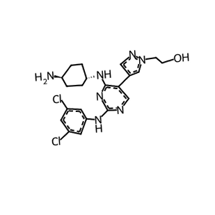 N[C@H]1CC[C@H](Nc2nc(Nc3cc(Cl)cc(Cl)c3)ncc2-c2cnn(CCO)c2)CC1